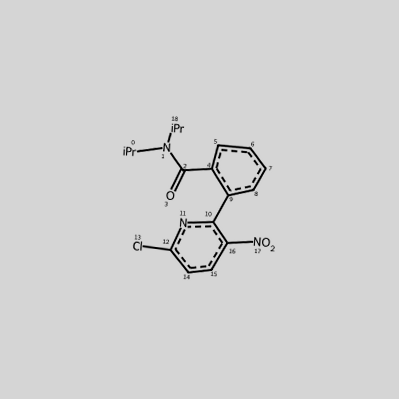 CC(C)N(C(=O)c1ccccc1-c1nc(Cl)ccc1[N+](=O)[O-])C(C)C